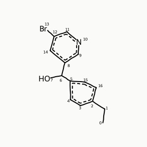 CCc1ccc(C(O)c2cncc(Br)c2)cc1